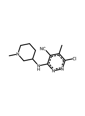 Cc1c(Cl)nnc(NC2CCCN(C)C2)c1C#N